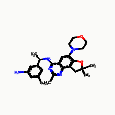 Cc1cc(N)cc([C@@H](C)Nc2nc(C)nc3c4c(c(N5CCOCC5)cc23)OC(C)(C)C4)c1